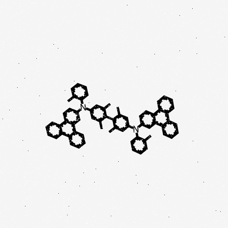 Cc1ccccc1N(c1cc(C)c(-c2c(C)cc(N(c3ccc4c5ccccc5c5ccccc5c4c3)c3ccccc3C)cc2C)c(C)c1)c1ccc2c3ccccc3c3ccccc3c2c1